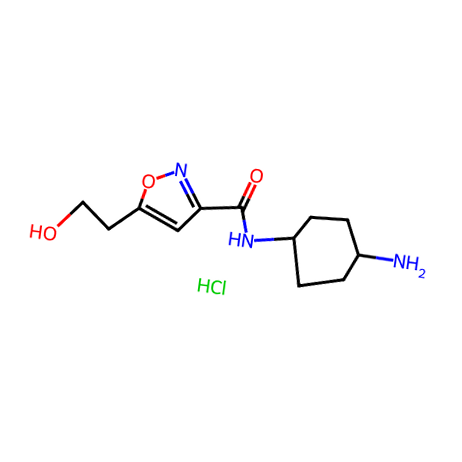 Cl.NC1CCC(NC(=O)c2cc(CCO)on2)CC1